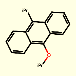 CC(C)Oc1c2ccccc2c(C(C)C)c2ccccc12